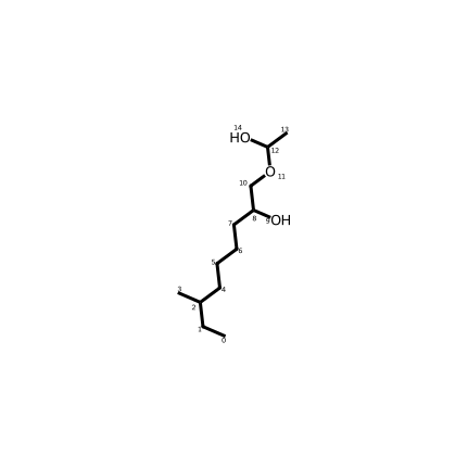 CCC(C)CCCCC(O)COC(C)O